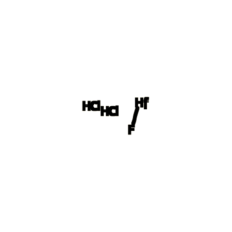 Cl.Cl.[F][Hf]